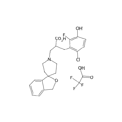 O=C(O)C(Cc1c(Cl)ccc(O)c1F)CN1CCC2(CC1)OCc1ccccc12.O=C(O)C(F)(F)F